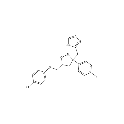 CN1OC(CSc2ccc(Cl)cc2)CC1(Cc1ncc[nH]1)c1ccc(F)cc1